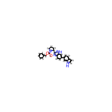 O=C(OCc1ccccc1)N1CCC[C@H]1c1nc2ccc(-c3ccc4cc[nH]c4c3)cc2[nH]1